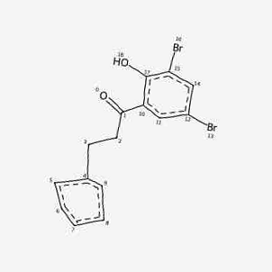 O=C(CCc1ccccc1)c1cc(Br)cc(Br)c1O